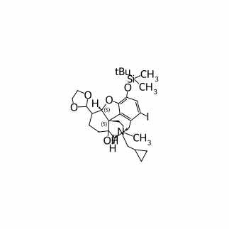 CC(C)(C)[Si](C)(C)Oc1cc(I)c2c3c1O[C@H]1C(C4OCCO4)CCC4(O)[C@@H](C2)[N+](C)(CC2CC2)CC[C@]314